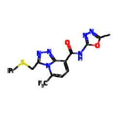 Cc1nnc(NC(=O)c2ccc(C(F)(F)F)n3c(CSC(C)C)nnc23)o1